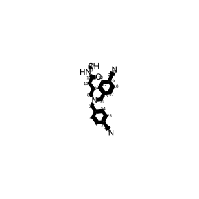 N#Cc1ccc(CN(CCCC(=O)NO)Cc2ccc(C#N)cc2)cc1